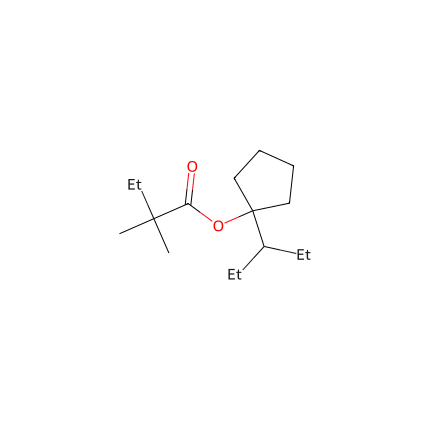 CCC(CC)C1(OC(=O)C(C)(C)CC)CCCC1